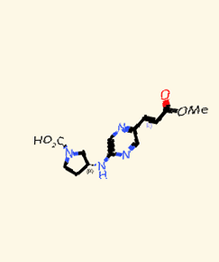 COC(=O)/C=C/c1cnc(N[C@@H]2CCN(C(=O)O)C2)cn1